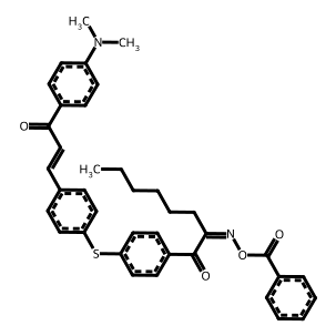 CCCCCCC(=NOC(=O)c1ccccc1)C(=O)c1ccc(Sc2ccc(C=CC(=O)c3ccc(N(C)C)cc3)cc2)cc1